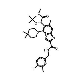 COC(=O)[C@@H](OC(C)(C)C)c1c(C)cc2nc(C(=O)NCc3ccc(F)c(C)c3)cn2c1N1CCC(C)(C)CC1